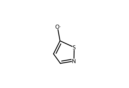 [O]c1ccns1